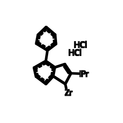 CC(C)C1=Cc2c(-c3ccccc3)cccc2[CH]1[Zr].Cl.Cl